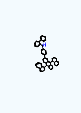 c1ccc2c(-c3c4ccccc4c(-c4cccc5ccccc45)c4cc(-c5ccc(-c6nc7ccccc7c7ccccc67)cc5)ccc34)cccc2c1